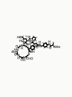 CC[C@H](C)[C@@H]1NC(=O)CNC(=O)[C@H](NC(=O)[C@@H](NC(=O)[C@@H]2CCCN2C(=O)[C@H](CC(=O)NCc2ccc(NC(=O)[C@H](C)NC)cc2)NC)[C@@H](C)[C@@H](O)CO)Cc2c([nH]c3ccccc23)SC[C@@H](C=O)NC(=O)CNC1=O